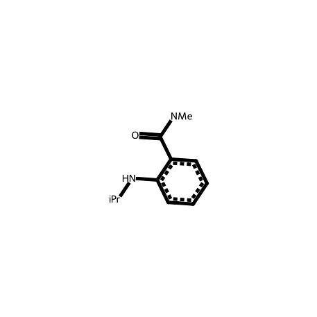 CNC(=O)c1ccccc1NC(C)C